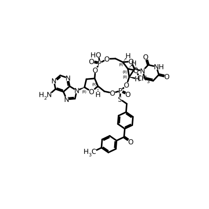 CO[C@H]1[C@H]2OP(=O)(SCc3ccc(C(=O)c4ccc(C)cc4)cc3)OC[C@H]3O[C@@H](n4cnc5c(N)ncnc54)CC3OP(=O)(O)OC[C@H]1O[C@H]2n1ccc(=O)[nH]c1=O